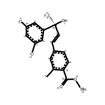 Cc1cc(/C=C/[C@](O)(c2cc(Cl)cc(Cl)c2)C(F)(F)F)ccc1C(=O)OC(C)(C)C